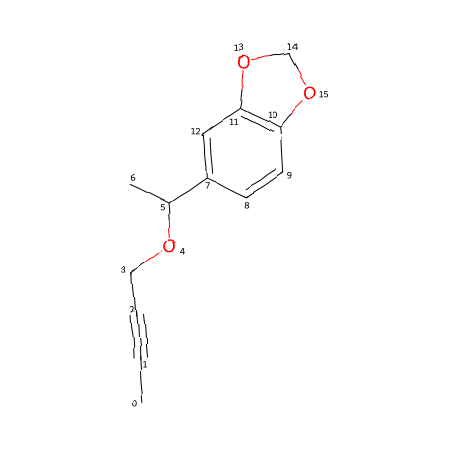 CC#CCOC(C)c1ccc2c(c1)OCO2